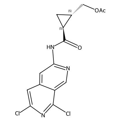 CC(=O)OC[C@H]1C[C@@H]1C(=O)Nc1cc2cc(Cl)nc(Cl)c2cn1